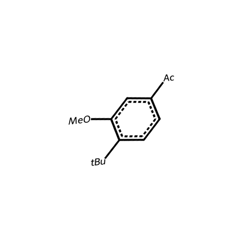 COc1cc(C(C)=O)ccc1C(C)(C)C